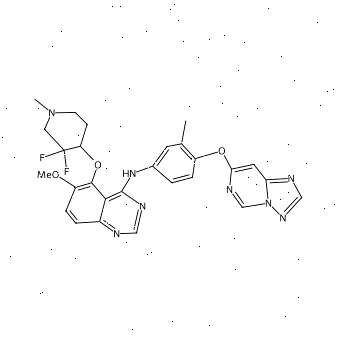 COc1ccc2ncnc(Nc3ccc(Oc4cc5ncnn5cn4)c(C)c3)c2c1OC1CCN(C)CC1(F)F